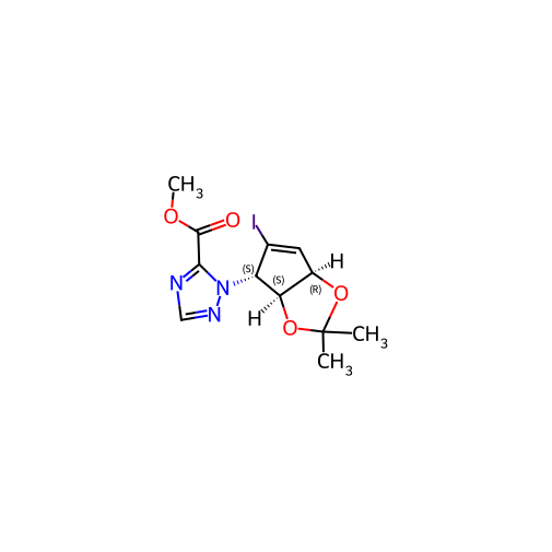 COC(=O)c1ncnn1[C@@H]1C(I)=C[C@H]2OC(C)(C)O[C@@H]12